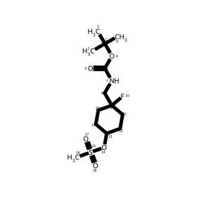 CC(C)(C)OC(=O)NCC1(F)CCC(OS(C)(=O)=O)CC1